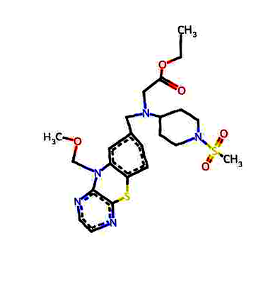 CCOC(=O)CN(Cc1ccc2c(c1)N(COC)c1nccnc1S2)C1CCN(S(C)(=O)=O)CC1